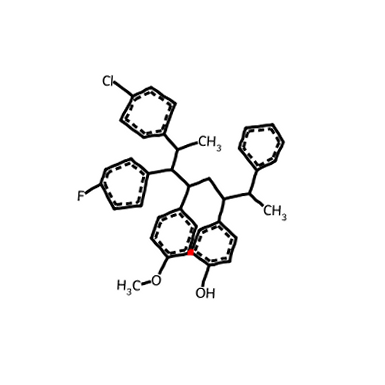 COc1ccc(C(CC(c2ccc(O)cc2)C(C)c2ccccc2)C(c2ccc(F)cc2)C(C)c2ccc(Cl)cc2)cc1